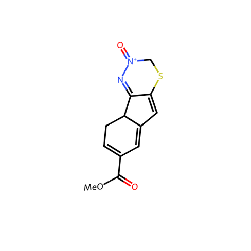 COC(=O)C1=CCC2C(=C1)C=C1SC[N+](=O)N=C12